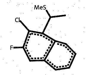 CSC(C)c1c(Cl)c(F)cc2ccccc12